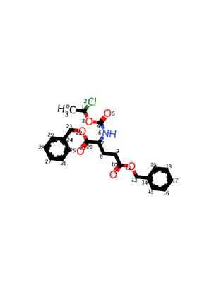 CC(Cl)OC(=O)NC(CCC(=O)OCc1ccccc1)C(=O)OCc1ccccc1